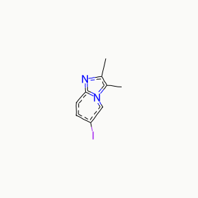 Cc1nc2ccc(I)cn2c1C